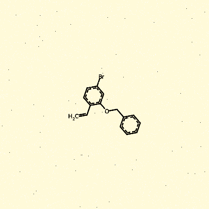 C=Cc1ccc(Br)cc1OCc1ccccc1